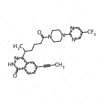 CC#Cc1ccc2c(=O)[nH]nc(C(C)CCCC(=O)N3CCN(c4ncc(C(F)(F)F)cn4)CC3)c2c1